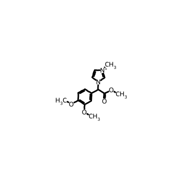 COC(=O)C(c1ccc(OC)c(OC)c1)n1cc[n+](C)c1